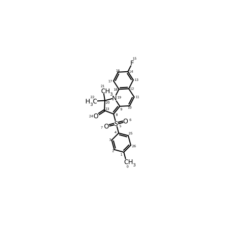 Cc1ccc(S(=O)(=O)C2=C3C=Cc4cc(F)ccc4N3C(C)(C)C2=O)cc1